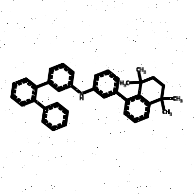 CC1(C)CCC(C)(C)c2c(-c3cccc(Nc4cccc(-c5ccccc5-c5ccccc5)c4)c3)cccc21